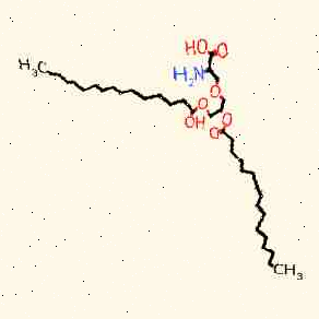 CCCCCCCCCCCCCCCC(=O)OC(COCC(N)C(=O)O)COC(O)CCCCCCCCCCCCCCC